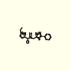 CCn1ccc(C(=O)NCc2nnc(-c3ccccc3)s2)n1